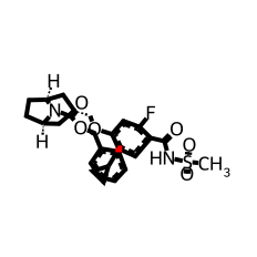 CS(=O)(=O)NC(=O)c1cc(C2CC2)c(OC[C@@H]2C[C@H]3CC[C@@H](C2)N3C(=O)OCc2ccccc2)cc1F